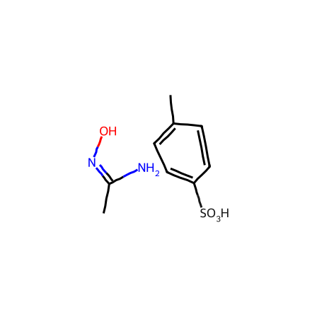 CC(N)=NO.Cc1ccc(S(=O)(=O)O)cc1